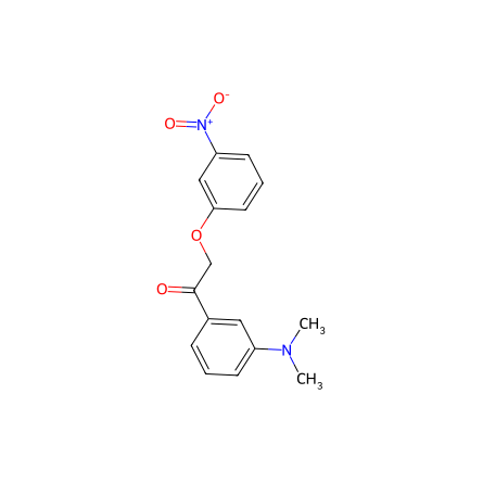 CN(C)c1cccc(C(=O)COc2cccc([N+](=O)[O-])c2)c1